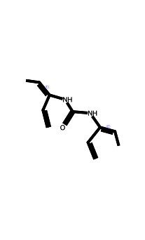 C=C/C(=C\C)NC(=O)N/C(C=C)=C/C